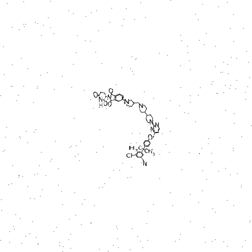 CC(C)(c1ccc(OCc2ccnc(N3CCC(C4CCN(CC5CCN(c6ccc7c(c6)C(=O)N(C6CCC(=O)NC6=O)C7=O)C5)CC4)CC3)n2)cc1)c1cc(Cl)cc(C#N)c1